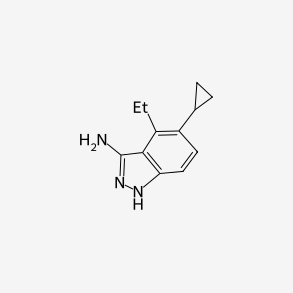 CCc1c(C2CC2)ccc2[nH]nc(N)c12